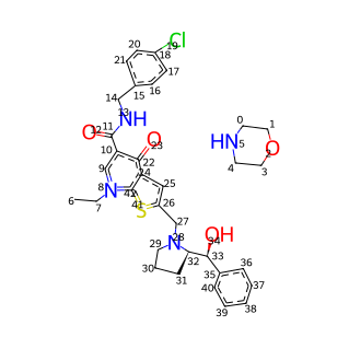 C1COCCN1.CCn1cc(C(=O)NCc2ccc(Cl)cc2)c(=O)c2cc(CN3CCC[C@@H]3[C@@H](O)c3ccccc3)sc21